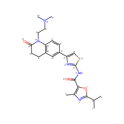 Cc1nc(C(C)C)oc1C(=O)Nc1nc(-c2ccc3c(c2)CCC(=O)N3CCN(C)C)cs1